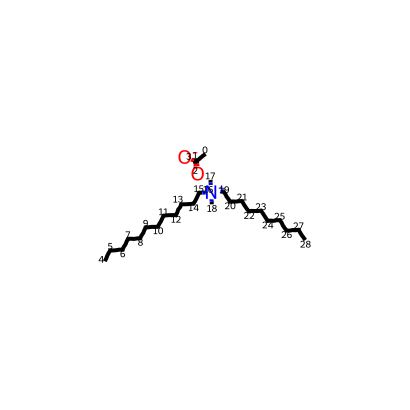 CC(=O)[O-].CCCCCCCCCCCC[N+](C)(C)CCCCCCCCCC